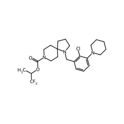 CC(OC(=O)N1CCC2(CCCN2Cc2cccc(N3CCCCC3)c2Cl)CC1)C(F)(F)F